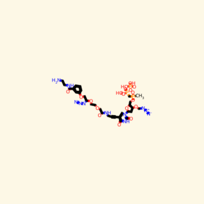 CP(=O)(CP(=O)(OO)OP(=O)(O)O)OCC1OC(n2cc(C#CCNC(=O)COCCOC(COc3cccc(C(=O)NCCN)c3)N=[N+]=[N-])c(=O)[nH]c2=O)CC1OCN=[N+]=[N-]